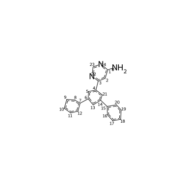 Nc1cc(-c2cc(-c3ccccc3)cc(-c3ccccc3)c2)ncn1